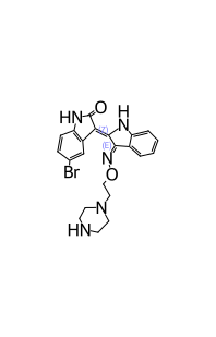 O=C1Nc2ccc(Br)cc2/C1=C1/Nc2ccccc2/C1=N\OCCN1CCNCC1